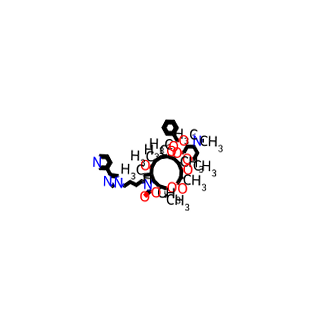 CCC1C(=O)[C@H](C)C[C@](C)(OC)[C@H](OC2O[C@H](C)C[C@H](N(C)C)[C@H]2OC(=O)c2ccccc2)[C@@H](C)C(=O)[C@@H](C)C(=O)O[C@H](CC)[C@@]2(C)OC(=O)N(CCCCn3cnc(-c4cccnc4)c3)[C@H]12